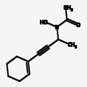 CC(C#CC1=CCCCC1)N(O)C(N)=O